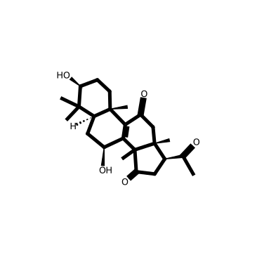 CC(=O)[C@H]1CC(=O)C2(C)C3=C(C(=O)C[C@]12C)[C@@]1(C)CC[C@H](O)C(C)(C)[C@@H]1C[C@@H]3O